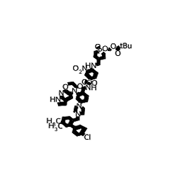 CC1(C)CCC(CN2CCN(c3ccc(C(=O)NS(=O)(=O)c4ccc(NCC5CCP(=O)(OCOC(=O)C(C)(C)C)CC5)c([N+](=O)[O-])c4)c(N4CCCOc5nc6[nH]ccc6cc54)c3)CC2)=C(c2ccc(Cl)cc2)C1